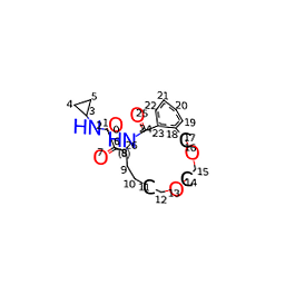 O=C(NC1CC1)C(=O)[C@@H]1CCCCOCCOCc2ccccc2C(=O)N1